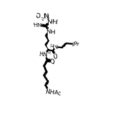 CC(=O)NCCCCCC(=O)N[C@@H](CCCNC(=N)N[N+](=O)[O-])C(=O)NCCC(C)C